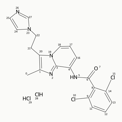 Cc1nc2c(NC(=O)c3c(Cl)cccc3Cl)cccn2c1CCn1ccnc1.Cl.Cl